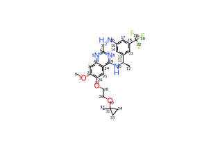 COc1cc2nc(C)nc(N[C@H](C)c3cc(N)cc(C(F)(F)F)c3)c2cc1OCCOC1(C)CC1